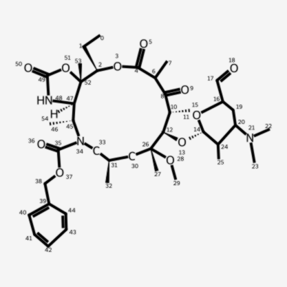 CC[C@H]1OC(=O)C(C)C(=O)[C@H](C)[C@@H](O[C@@H]2OC(C=O)CC(N(C)C)C2C)[C@](C)(OC)C[C@@H](C)CN(C(=O)OCc2ccccc2)[C@H](C)[C@H]2NC(=O)O[C@@]21C